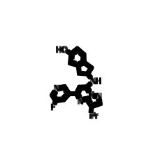 CC(C)c1cnn2c(NC3Cc4ccc(O)cc4C3)cc(-c3cncc(F)c3)nc12